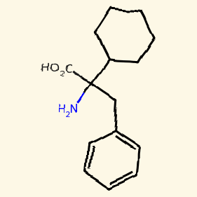 NC(Cc1ccccc1)(C(=O)O)C1CCCCC1